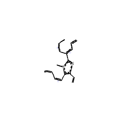 C=C/C=C\c1c(C=C)nc(C(/C=C\C)=C/C=C)n1C